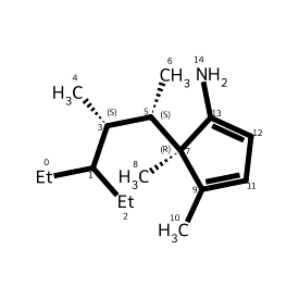 CCC(CC)[C@H](C)[C@H](C)[C@]1(C)C(C)=CC=C1N